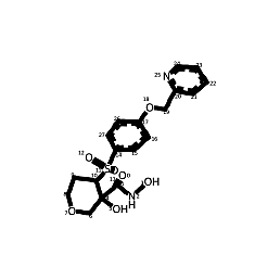 O=C(NO)C1(O)COCCC1S(=O)(=O)c1ccc(OCc2ccccn2)cc1